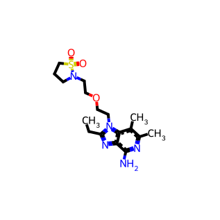 CCc1nc2c(N)nc(C)c(C)c2n1CCOCCN1CCCS1(=O)=O